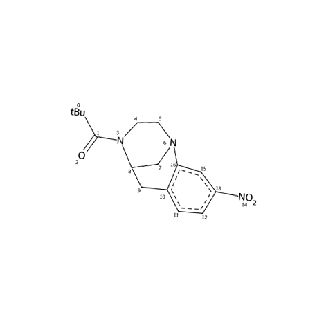 CC(C)(C)C(=O)N1CCN2CC1Cc1ccc([N+](=O)[O-])cc12